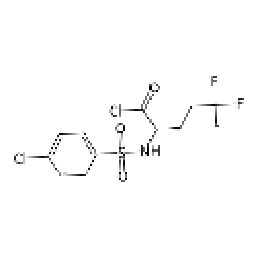 O=C(Cl)[C@@H](CCC(F)(F)F)NS(=O)(=O)c1ccc(Cl)cc1